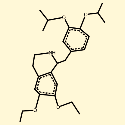 CCOc1cc2c(cc1OCC)C(Cc1ccc(OC(C)C)c(OC(C)C)c1)NCC2